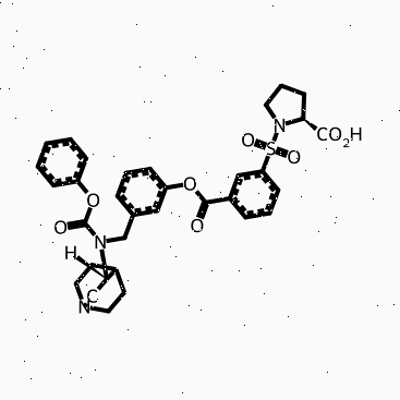 O=C(Oc1cccc(CN(C(=O)Oc2ccccc2)[C@H]2CN3CCC2CC3)c1)c1cccc(S(=O)(=O)N2CCC[C@H]2C(=O)O)c1